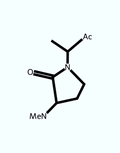 CNC1CCN(C(C)C(C)=O)C1=O